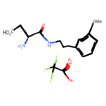 COc1cccc(CCNC(=O)[C@@H](N)CC(=O)O)c1.O=C(O)C(F)(F)F